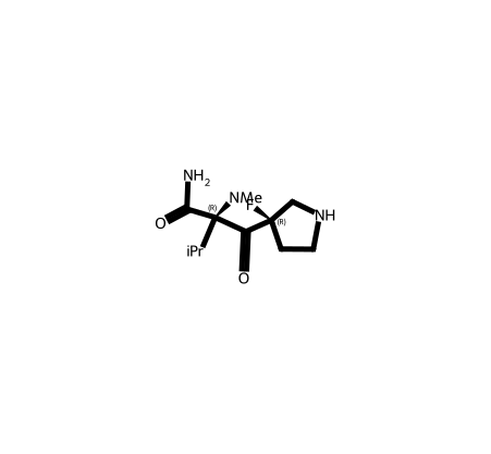 CN[C@@](C(N)=O)(C(=O)[C@@]1(F)CCNC1)C(C)C